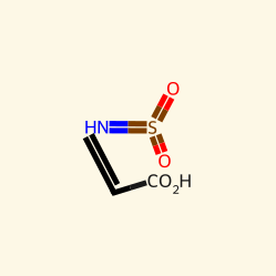 C=CC(=O)O.N=S(=O)=O